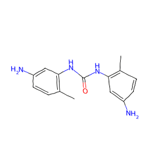 Cc1ccc(N)cc1NC(=O)Nc1cc(N)ccc1C